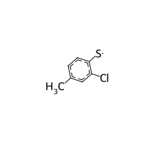 Cc1ccc([S])c(Cl)c1